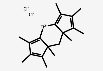 CC1=C(C)C2(C)CC3(C)C(C)=C(C)C(C)=[C]3[Ti+2][C]2=C1C.[Cl-].[Cl-]